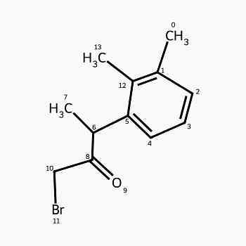 Cc1cccc(C(C)C(=O)CBr)c1C